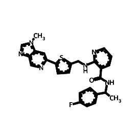 CC(NC(=O)c1cccnc1NCc1ccc(-c2cc3c(cn2)ncn3C)s1)c1ccc(F)cc1